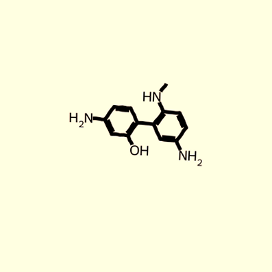 CNc1ccc(N)cc1-c1ccc(N)cc1O